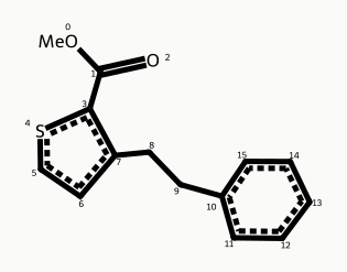 COC(=O)c1sccc1CCc1ccccc1